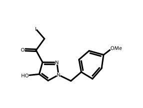 COc1ccc(Cn2cc(O)c(C(=O)CI)n2)cc1